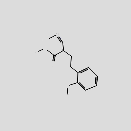 COC(=O)C(/C=N\O)CCc1ccccc1OC